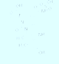 Cc1cc(C)c2c(C(C)n3c(=O)n([C@H](CC(=O)O)c4ccccc4)c4cc(C(=O)NS(C)(=O)=O)ccc43)c[nH]c2c1